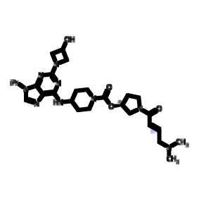 CC(C)n1cnc2c(NC3CCN(C(=O)O[C@H]4CCN(C(=O)/C=C/CN(C)C)C4)CC3)nc(N3CC(O)C3)nc21